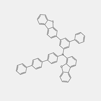 c1ccc(-c2ccc(-c3ccc(N(c4cc(-c5ccccc5)cc(-c5ccc6c(c5)sc5ccccc56)c4)c4cccc5c4oc4ccccc45)cc3)cc2)cc1